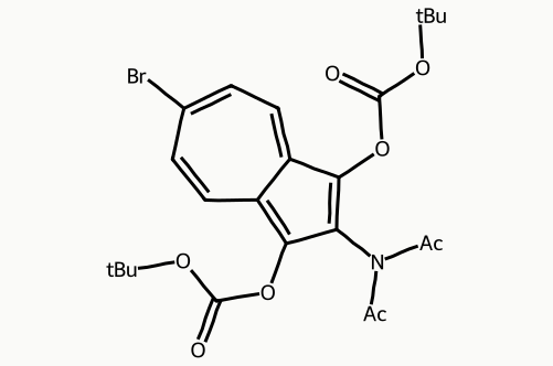 CC(=O)N(C(C)=O)c1c(OC(=O)OC(C)(C)C)c2ccc(Br)ccc-2c1OC(=O)OC(C)(C)C